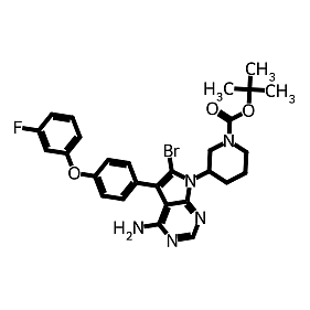 CC(C)(C)OC(=O)N1CCCC(n2c(Br)c(-c3ccc(Oc4cccc(F)c4)cc3)c3c(N)ncnc32)C1